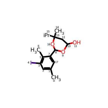 Cc1cc(I)c(C)c(C2OC(O)CC(C)(C(C)C)O2)c1